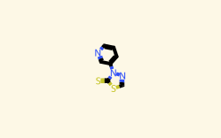 S=c1scnn1-c1cccnc1